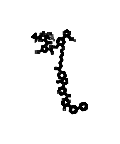 Cc1ncsc1-c1ccc(CNC(=O)[C@@H]2C[C@@H](O)CN2C(=O)[C@@H](NC(=O)C2(F)CC2)C(C)(C)C)c(OCCCCCCC(=O)N2CCC3(CC2)CCN(c2cncc(Nc4ncc(Cl)c(-c5cccc(-c6ccccc6)c5)n4)c2)C3=O)c1